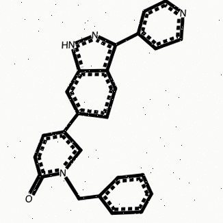 O=c1ccc(-c2ccc3c(-c4ccncc4)n[nH]c3c2)cn1Cc1ccccc1